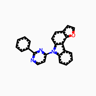 c1ccc(-c2nccc(-n3c4ccccc4c4c5occc5ccc43)n2)cc1